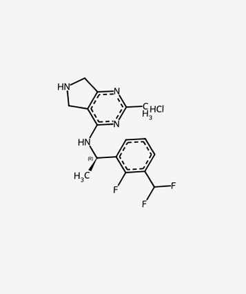 Cc1nc2c(c(N[C@H](C)c3cccc(C(F)F)c3F)n1)CNC2.Cl